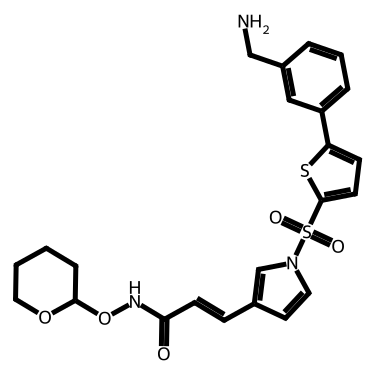 NCc1cccc(-c2ccc(S(=O)(=O)n3ccc(C=CC(=O)NOC4CCCCO4)c3)s2)c1